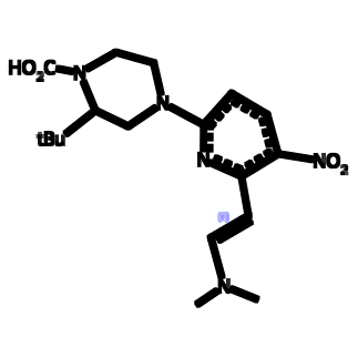 CN(C)/C=C/c1nc(N2CCN(C(=O)O)C(C(C)(C)C)C2)ccc1[N+](=O)[O-]